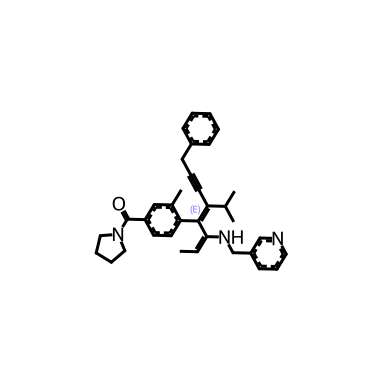 CC=C(NCc1cccnc1)/C(=C(/C#CCc1ccccc1)C(C)C)c1ccc(C(=O)N2CCCC2)cc1C